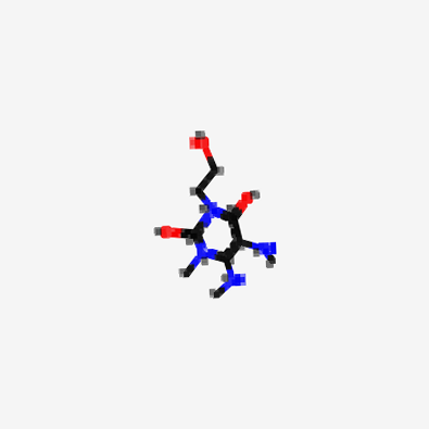 CNc1c(NC)n(C)c(=O)n(CCO)c1=O